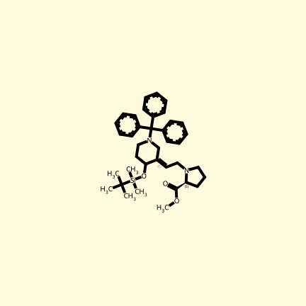 COC(=O)[C@@H]1CCCN1C/C=C1\CN(C(c2ccccc2)(c2ccccc2)c2ccccc2)CCC1O[Si](C)(C)C(C)(C)C